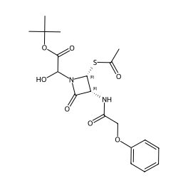 CC(=O)S[C@@H]1[C@H](NC(=O)COc2ccccc2)C(=O)N1C(O)C(=O)OC(C)(C)C